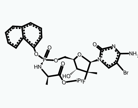 CC(C)OC(=O)[C@@H](C)N[P@@](=O)(OC[C@H]1O[C@@H](n2cc(Br)c(N)nc2=O)[C@](C)(F)[C@@H]1O)Oc1cccc2ccccc12